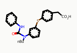 CCCCN(C(=O)Nc1ccccc1)c1cccc(Sc2ccc(CC(=O)O)cc2)c1